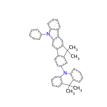 CC1(C)c2cc(N3c4ccccc4C(C)(C)c4ccccc43)ccc2-c2cc3c(cc21)c1ccccc1n3-c1ccccc1